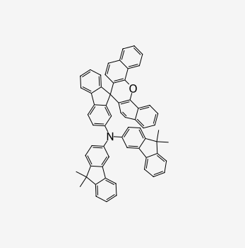 CC1(C)c2ccccc2-c2cc(N(c3ccc4c(c3)-c3ccccc3C4(C)C)c3ccc4c(c3)C3(c5ccccc5-4)c4ccc5ccccc5c4Oc4c3ccc3ccccc43)ccc21